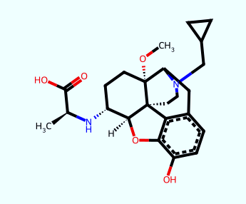 CO[C@@]12CC[C@@H](N[C@@H](C)C(=O)O)[C@@H]3Oc4c(O)ccc5c4[C@@]31CCN(CC1CC1)C2C5